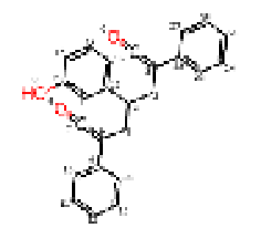 O=C=C(CC(CC(=C=O)c1ccccc1)c1cccc(O)c1)c1ccccc1